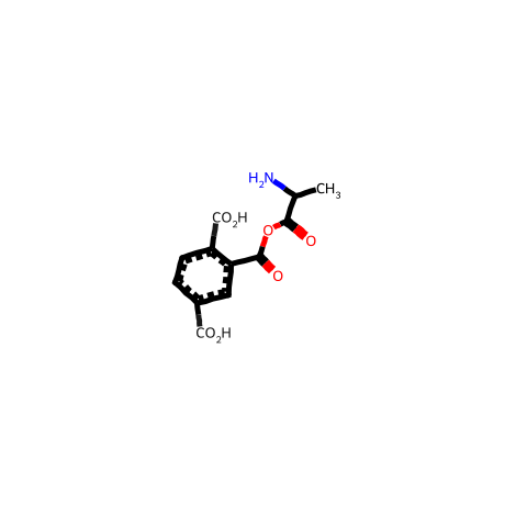 CC(N)C(=O)OC(=O)c1cc(C(=O)O)ccc1C(=O)O